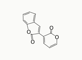 O=c1occcc1-c1cc2ccccc2oc1=O